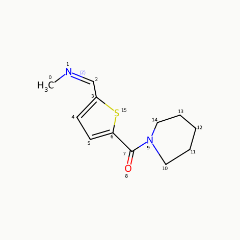 C/N=C\c1ccc(C(=O)N2CCCCC2)s1